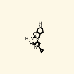 NC(=O)N(CC1CCNCC1)c1cc(C2CC2)n[nH]1